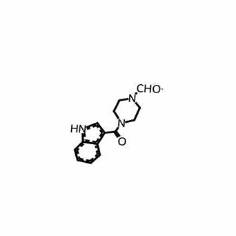 O=[C]N1CCN(C(=O)c2c[nH]c3ccccc23)CC1